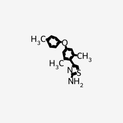 Cc1ccc(Oc2cc(C)c(-c3csc(N)n3)c(C)c2)cc1